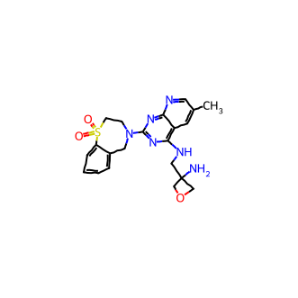 Cc1cnc2nc(N3CCS(=O)(=O)c4ccccc4C3)nc(NCC3(N)COC3)c2c1